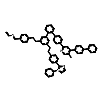 C=C/N=C/c1ccc(CCc2cc(CCc3ccc(-c4nccn4-c4ccccc4)cc3)cc(-c3ccccc3-c3ccc(-c4cc(-c5ccc(-c6ccccc6)cc5)c(C)cn4)cc3)c2)cc1